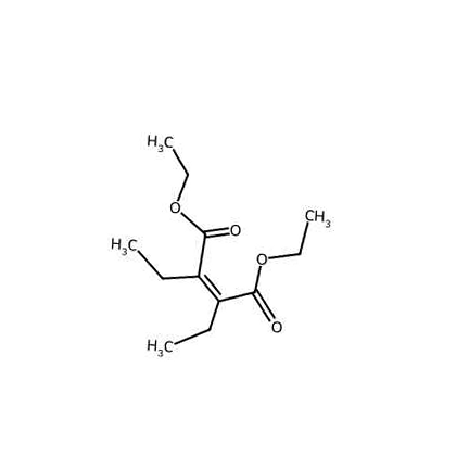 CCOC(=O)C(CC)=C(CC)C(=O)OCC